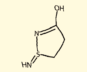 N=S1CCC(O)=N1